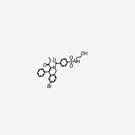 CCC(=O)C1=C(c2ccccc2)c2cc(Br)ccc2CN1C(=O)c1ccc(S(=O)(=O)NCCO)cc1